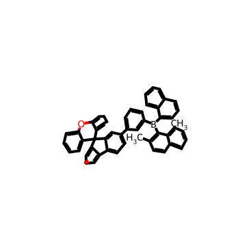 Cc1ccc2ccccc2c1B(c1cccc(-c2ccc3c(c2)C2(C4=CCCC=C4Oc4ccccc42)c2ccccc2-3)c1)c1c(C)ccc2ccccc12